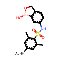 CC(=O)Nc1cc(C)c(S(=O)(=O)Nc2ccc3c(c2)B(O)OC3)c(C)c1